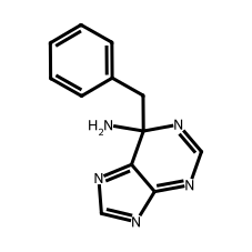 NC1(Cc2ccccc2)N=CN=C2N=CN=C21